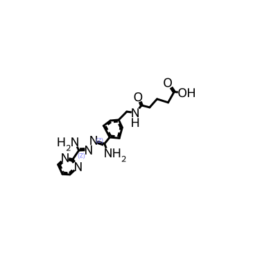 N/C(=N\N=C(/N)c1ncccn1)c1ccc(CNC(=O)CCCC(=O)O)cc1